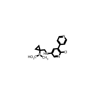 CN(C(=O)O)C1(CNc2cnc(Cl)c(-c3ccncc3)c2)CC1